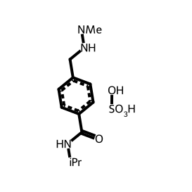 CNNCc1ccc(C(=O)NC(C)C)cc1.O=S(=O)(O)O